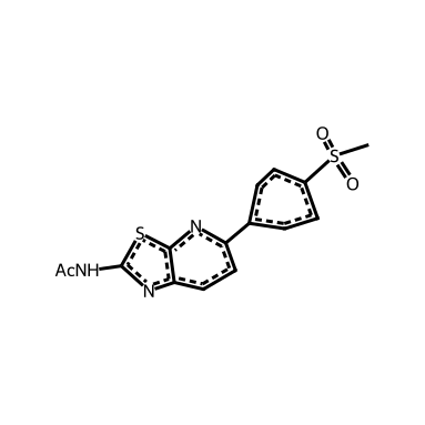 CC(=O)Nc1nc2ccc(-c3ccc(S(C)(=O)=O)cc3)nc2s1